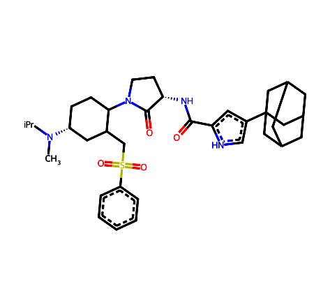 CC(C)N(C)[C@@H]1CCC(N2CC[C@H](NC(=O)c3cc(C45CC6CC(CC(C6)C4)C5)c[nH]3)C2=O)C(CS(=O)(=O)c2ccccc2)C1